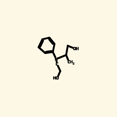 CC(CO)N(CCO)c1ccccc1